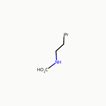 CC(C)CCNC(=O)O